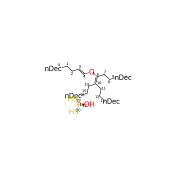 CCCCCCCCCCCCC=COC(CCCCCCCCCCCC)=C(CCCCCCCCCCCC)CCCCCCCCCCCC.OP(S)S